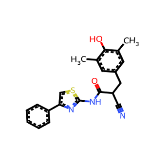 Cc1cc(CC(C#N)C(=O)Nc2nc(-c3ccccc3)cs2)cc(C)c1O